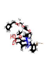 Cc1c([C@H](OC(C)(C)C)C(=O)O)c(N2CCC(C)(OCCOC[C@@H](C)OCc3ccccc3)CC2)n2cc(-c3cccc(Br)c3)nc2c1C